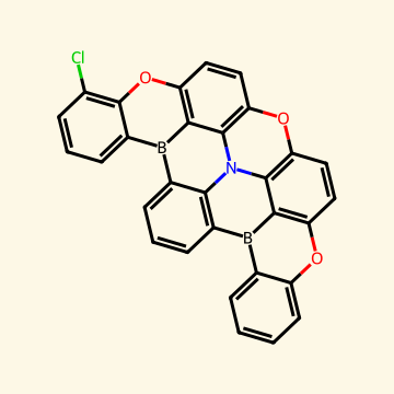 Clc1cccc2c1Oc1ccc3c4c1B2c1cccc2c1N4c1c(ccc4c1B2c1ccccc1O4)O3